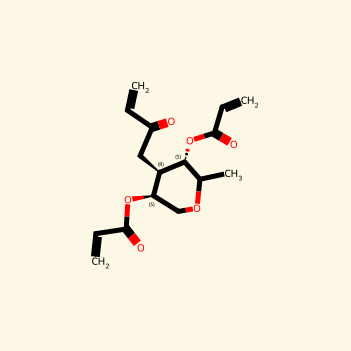 C=CC(=O)C[C@H]1[C@H](OC(=O)C=C)C(C)OC[C@H]1OC(=O)C=C